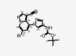 CC(C)(C)OC(=O)Nc1cnn(-c2cc(Br)cn3ncc(C#N)c23)c1